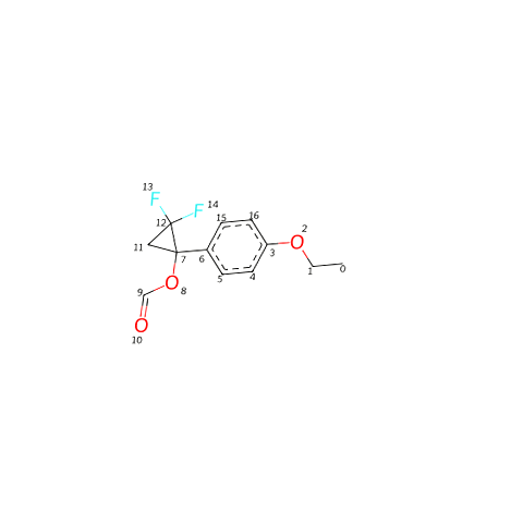 CCOc1ccc(C2(OC=O)CC2(F)F)cc1